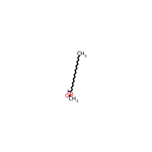 CCCCCCCCCCCCCCCCCCC(I)OC(C)=O